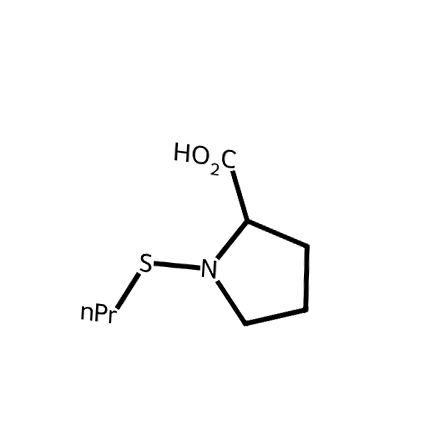 CCCSN1CCCC1C(=O)O